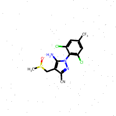 C[S+]([O-])Cc1c(C#N)nn(-c2c(Cl)cc(C(F)(F)F)cc2Cl)c1N